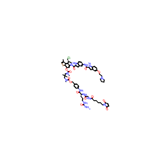 Cc1csc2c(OC(=O)N(C)CC(C)(C)CN(C)C(=O)OCc3ccc(NC(=O)[C@H](CCCNC(N)=O)NC(=O)CNC(=O)CCCCCN4C(=O)C=CC4=O)cc3)cc3c(c12)[C@@H](CCl)CN3C(=O)c1cc2cc(NC(=O)c3cc4cc(OCCN5CCCC5)ccc4[nH]3)ccc2[nH]1